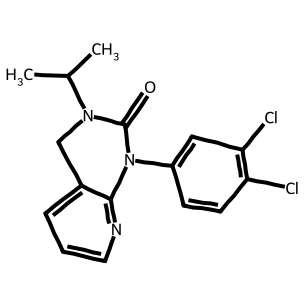 CC(C)N1Cc2cccnc2N(c2ccc(Cl)c(Cl)c2)C1=O